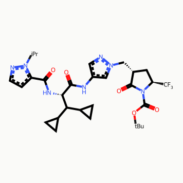 CC(C)n1nccc1C(=O)N[C@H](C(=O)Nc1cnn(C[C@@H]2C[C@@H](C(F)(F)F)N(C(=O)OC(C)(C)C)C2=O)c1)C(C1CC1)C1CC1